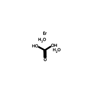 O.O.O=C(O)O.[Er]